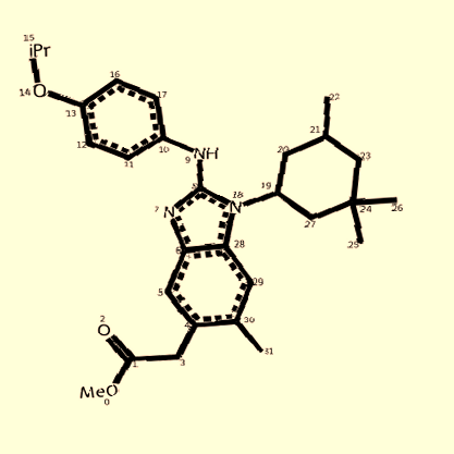 COC(=O)Cc1cc2nc(Nc3ccc(OC(C)C)cc3)n(C3CC(C)CC(C)(C)C3)c2cc1C